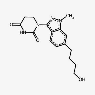 Cn1nc(N2CCC(=O)NC2=O)c2ccc(CCCCO)cc21